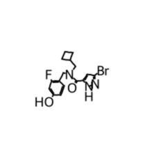 O=C(c1cc(Br)n[nH]1)N(Cc1ccc(O)cc1F)CC1CCC1